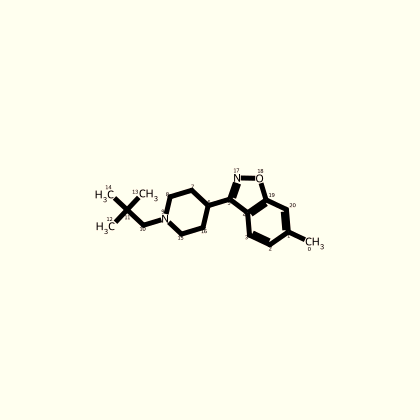 Cc1ccc2c(C3CCN(CC(C)(C)C)CC3)noc2c1